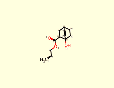 C=CCOC(=O)C1CC2C=CC1(O)CC2